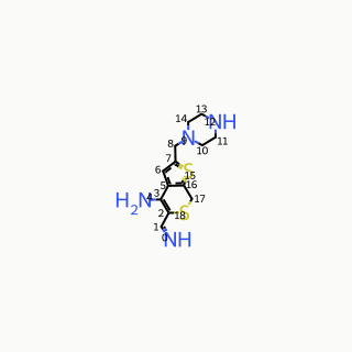 N=CC1=C(N)c2cc(CN3CCNCC3)sc2CS1